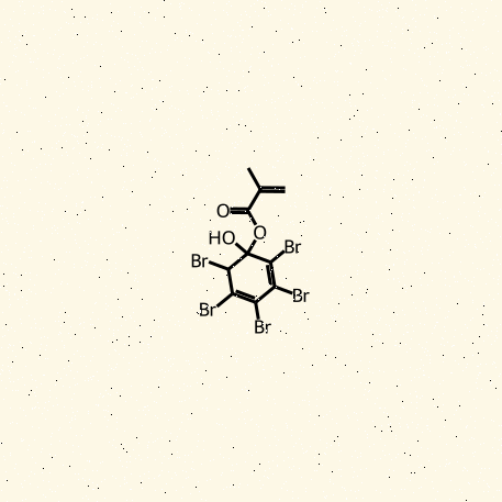 C=C(C)C(=O)OC1(O)C(Br)=C(Br)C(Br)=C(Br)C1Br